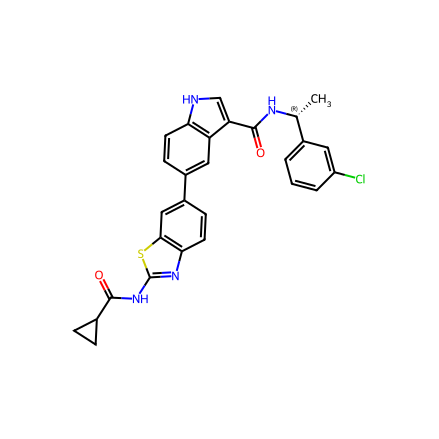 C[C@@H](NC(=O)c1c[nH]c2ccc(-c3ccc4nc(NC(=O)C5CC5)sc4c3)cc12)c1cccc(Cl)c1